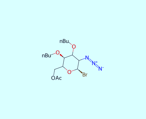 CCCCOC1C(N=[N+]=[N-])[C@@H](Br)OC(COC(C)=O)[C@H]1OCCCC